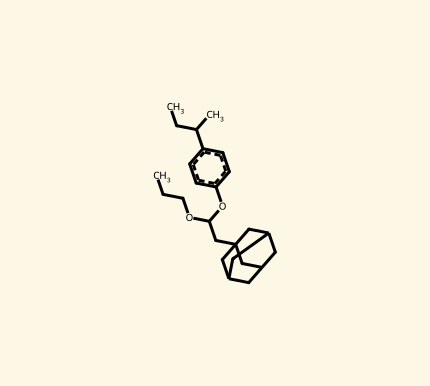 CCCOC(CC12CC3CC(CC(C3)C1)C2)Oc1ccc(C(C)CC)cc1